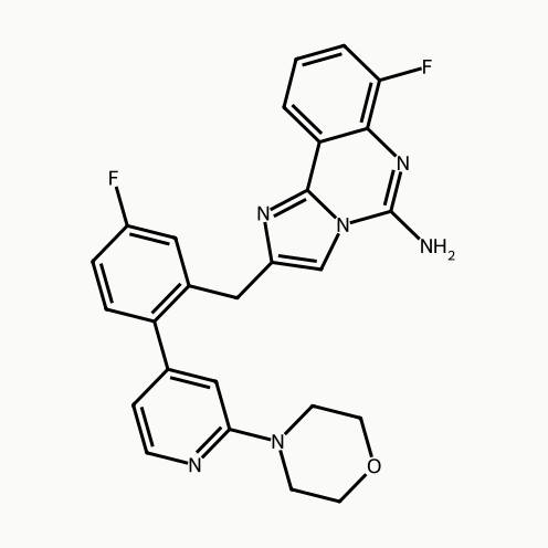 Nc1nc2c(F)cccc2c2nc(Cc3cc(F)ccc3-c3ccnc(N4CCOCC4)c3)cn12